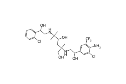 CC(CO)(CC(O)C(C)(C)NCC(O)c1ccccc1Cl)NCC(O)c1cc(Cl)c(N)c(C(F)(F)F)c1